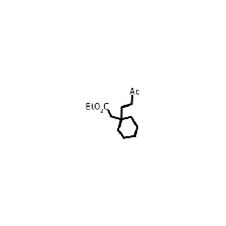 CCOC(=O)CC1(CCC(C)=O)CCCCC1